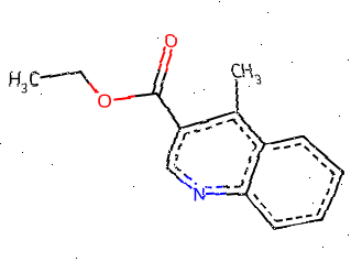 CCOC(=O)c1cnc2ccccc2c1C